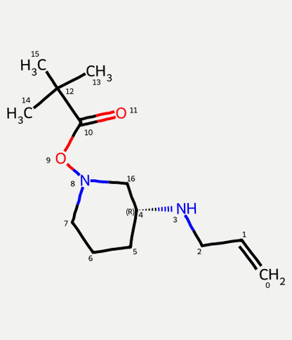 C=CCN[C@@H]1CCCN(OC(=O)C(C)(C)C)C1